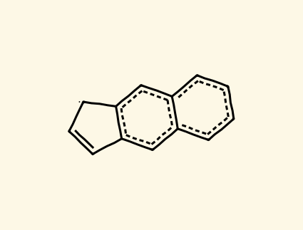 [CH]1C=Cc2cc3ccccc3cc21